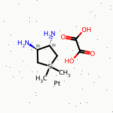 C[Si]1(C)C[C@@H](N)[C@H](N)C1.O=C(O)C(=O)O.[Pt]